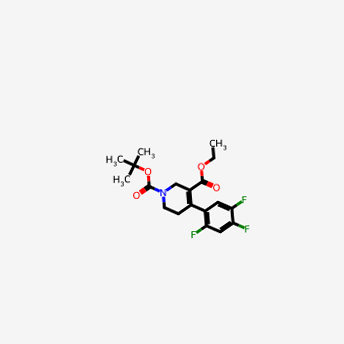 CCOC(=O)C1=C(c2cc(F)c(F)cc2F)CCN(C(=O)OC(C)(C)C)C1